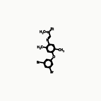 CCN(C)C=Nc1cc(C)c(Oc2cc(Br)cc(Br)c2)cc1C